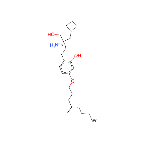 CC(C)CCCC(C)CCCOc1ccc(CC[C@@](N)(CO)CC2CCC2)c(O)c1